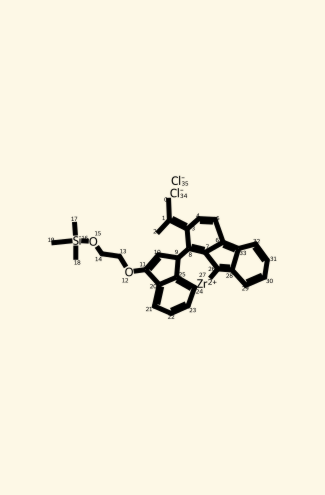 CC(C)=c1ccc2c(c1C1C=C(OCCO[Si](C)(C)C)c3ccccc31)[C]([Zr+2])=c1ccccc1=2.[Cl-].[Cl-]